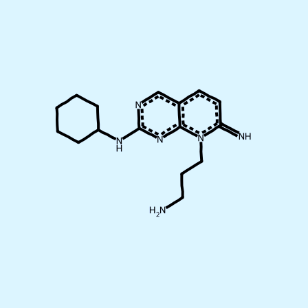 N=c1ccc2cnc(NC3CCCCC3)nc2n1CCCN